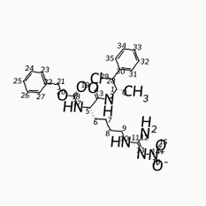 C[C@H](NC(=O)[C@H](CCCCN/C(N)=N/[N+](=O)[O-])NC(=O)OCc1ccccc1)C(Cl)c1ccccc1